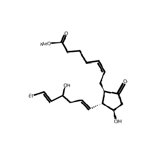 CC/C=C/C(O)C/C=C/[C@H]1[C@H](O)CC(=O)[C@@H]1C/C=C\CCCC(=O)OC